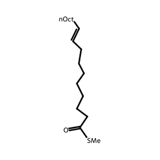 CCCCCCCCC=CCCCCCCCC(=O)SC